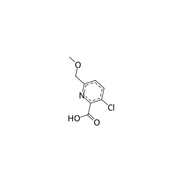 COCc1ccc(Cl)c(C(=O)O)n1